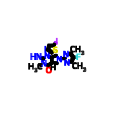 Cc1nc(N2C[C@H]3C(=O)N(C)C(=N)N[C@@]3(c3ccc(I)s3)C2)nc(C)c1F